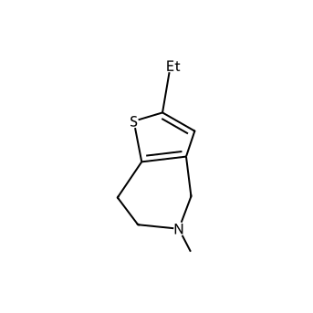 CCc1cc2c(s1)CCN(C)C2